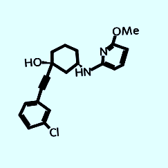 COc1cccc(N[C@H]2CCC[C@@](O)(C#Cc3cccc(Cl)c3)C2)n1